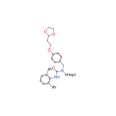 CCCCCCCN(Cc1ccc(OCCC2OCCO2)cc1)C(=O)Nc1c(C(C)C)cccc1C(C)C